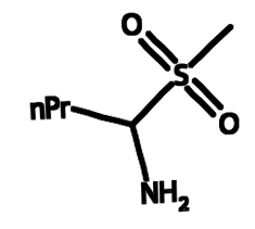 [CH2]CCC(N)S(C)(=O)=O